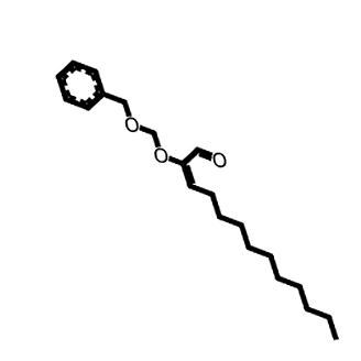 CCCCCCCCCCC=C(C=O)OCOCc1ccccc1